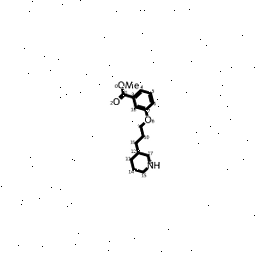 COC(=O)c1cccc(OCCCC2CCCNC2)c1